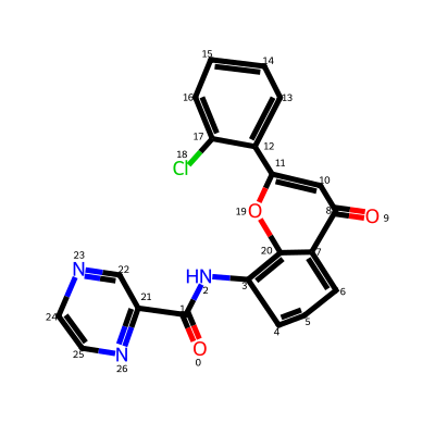 O=C(Nc1cccc2c(=O)cc(-c3ccccc3Cl)oc12)c1cnccn1